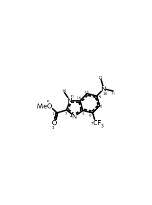 COC(=O)c1nc2c(C(F)(F)F)cc(N(C)C)cc2n1C